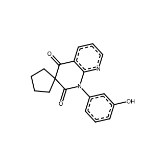 O=C1c2cccnc2N(c2cccc(O)c2)C(=O)C12CCCC2